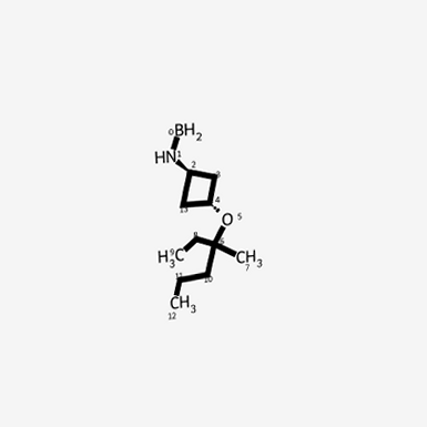 BN[C@H]1C[C@H](OC(C)(CC)CCC)C1